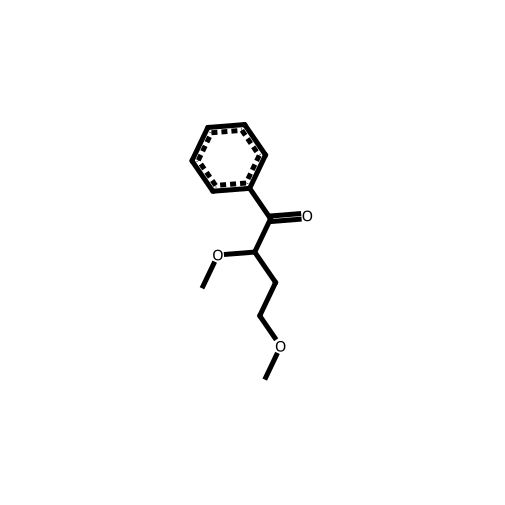 COCCC(OC)C(=O)c1ccccc1